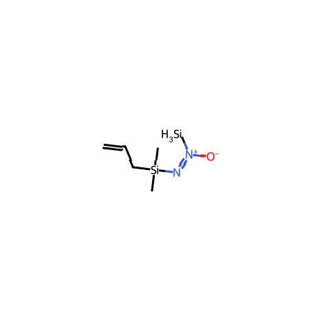 C=CC[Si](C)(C)N=[N+]([O-])[SiH3]